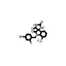 O=C1NC(=O)C2(N1)C(=O)N(Cc1ccc(Br)cc1F)c1c(C(F)(F)F)cccc12